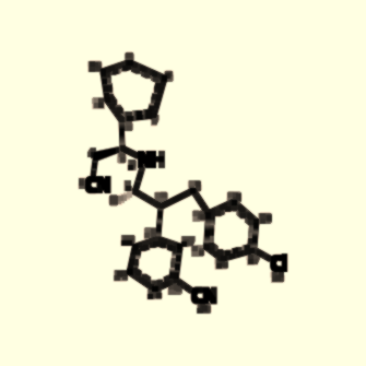 C[C@H](N[C@@H](CC#N)c1ccccc1)C(Cc1ccc(Cl)cc1)c1cccc(C#N)c1